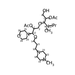 CC(=O)OC(COC(C(CO)OC(C)=O)N(C)C(C)C)C(OCCCN1CCN(C)CC1)N1CCOCC1